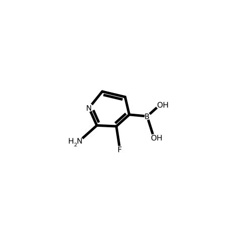 Nc1nccc(B(O)O)c1F